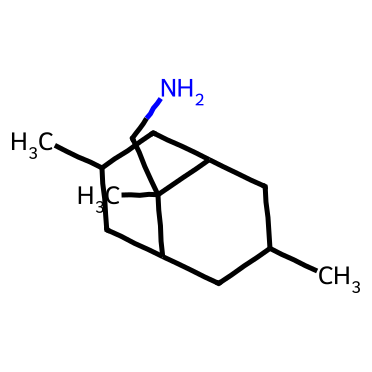 CC1CC2CC(C)CC(C1)C2(C)CN